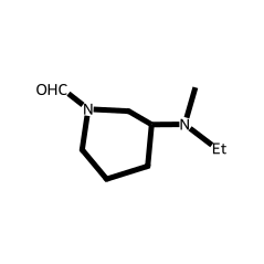 CCN(C)C1CCCN(C=O)C1